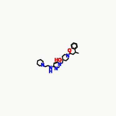 CC(CC(=O)N1CCC(O)(CN2C=CC(NCCN3CCCCC3)=NC2)CC1)c1ccccc1